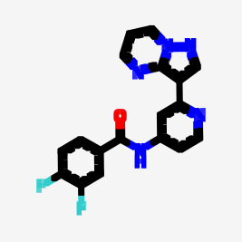 O=C(Nc1ccnc(-c2cnn3cccnc23)c1)c1ccc(F)c(F)c1